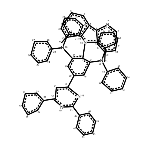 Cc1cccc2c3nccc(C)c3n(-c3c(N(c4ccccc4)c4ccccc4)cc(-c4cc(-c5ccccc5)nc(-c5ccccc5)n4)cc3N(c3ccccc3)c3ccccc3)c12